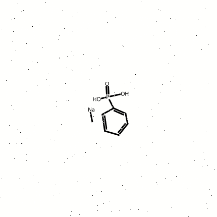 O=P(O)(O)c1ccccc1.[CH3][Na]